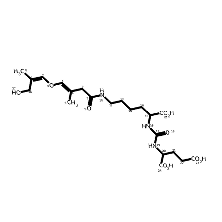 C/C(=C/O/C=C(\C)CC(=O)NCCCCC(NC(=O)NC(CCC(=O)O)C(=O)O)C(=O)O)CO